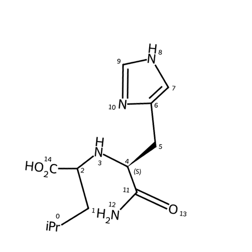 CC(C)CC(N[C@@H](Cc1c[nH]cn1)C(N)=O)C(=O)O